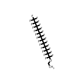 CCOC(F)(F)C(F)(F)C(F)(F)C(F)(F)C(F)(F)C(F)(F)C(F)(F)C(F)(F)C(F)(F)C(F)(F)C(F)(F)C(F)(F)F